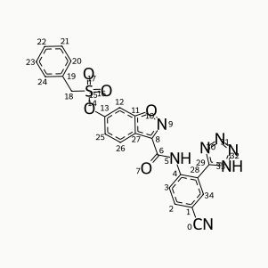 N#Cc1ccc(NC(=O)c2noc3cc(OS(=O)(=O)Cc4ccccc4)ccc23)c(-c2nnn[nH]2)c1